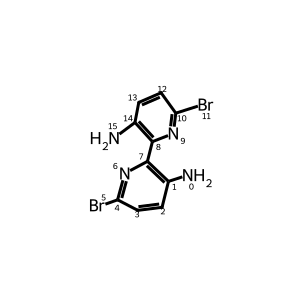 Nc1ccc(Br)nc1-c1nc(Br)ccc1N